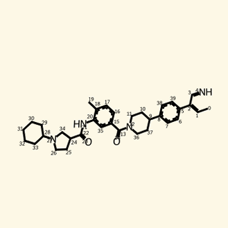 C/C=C(\C=N)c1ccc(C2CCN(C(=O)c3ccc(C)c(NC(=O)C4CCN(C5CCCCC5)C4)c3)CC2)cc1